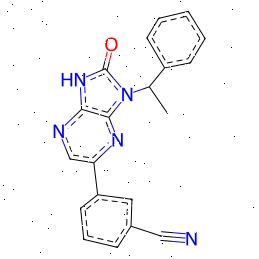 CC(c1ccccc1)n1c(=O)[nH]c2ncc(-c3cccc(C#N)c3)nc21